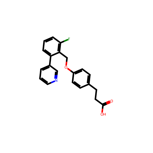 O=C(O)CCc1ccc(OCc2c(F)cccc2-c2cccnc2)cc1